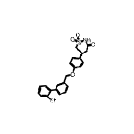 CCc1ccccc1-c1cccc(COc2ccc(C3CC(=O)NS(=O)(=O)C3)cc2)c1